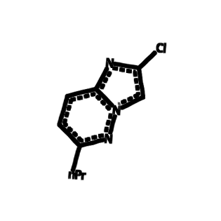 CCCc1ccc2nc(Cl)cn2n1